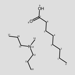 CCCCCCCC(=O)O.CCCN(C)CCC